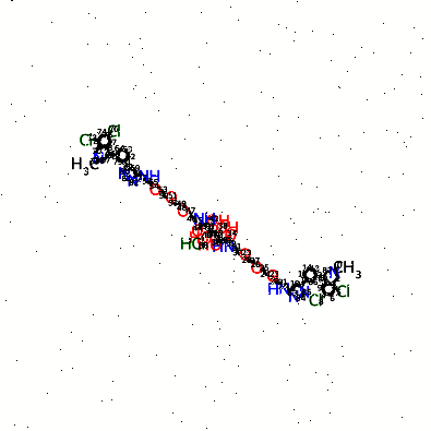 CN1Cc2c(Cl)cc(Cl)cc2[C@H](c2cccc(-c3cc(NCCOCCOCCOCCNC(=O)[C@@H](O)[C@H](O)[C@H](O)[C@@H](O)C(=O)NCCOCCOCCOCCNc4cc(-c5cccc([C@@H]6CN(C)Cc7c(Cl)cc(Cl)cc76)c5)ncn4)ncn3)c2)C1.Cl